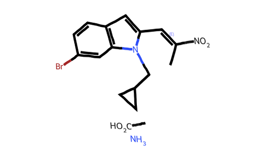 C/C(=C\c1cc2ccc(Br)cc2n1CC1CC1)[N+](=O)[O-].CC(=O)O.N